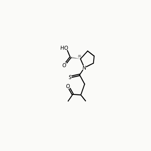 CC(=O)C(C)CC(=S)N1CCC[C@H]1C(=O)O